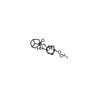 CCN1CC2CC(C1)C2C(=O)Nc1ccc(OC)nc1